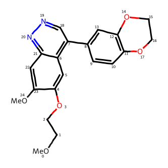 COCCOc1cc2c(-c3ccc4c(c3)OCCO4)cnnc2cc1OC